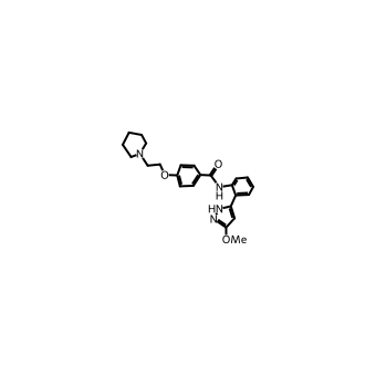 COc1cc(-c2ccccc2NC(=O)c2ccc(OCCN3CCCCC3)cc2)[nH]n1